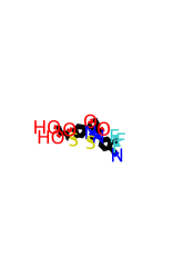 N#Cc1ccc(N2C(=O)C3(CCOC3)N(c3ccc4c(c3)SCC(C(O)CO)O4)C2=S)cc1C(F)(F)F